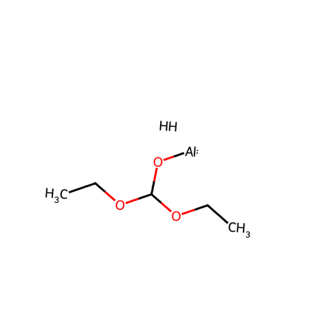 CCOC([O][Al])OCC.[HH]